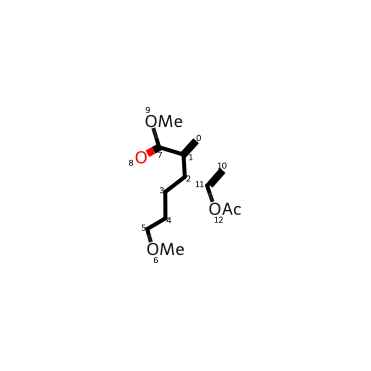 C=C(CCCCOC)C(=O)OC.C=COC(C)=O